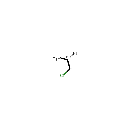 CC[C@@H](C)[CH]Cl